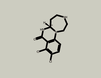 O=C1N[C@@H]2CCNCCN2c2ccc(Cl)c(Cl)c21